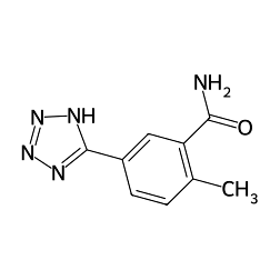 Cc1ccc(-c2nnn[nH]2)cc1C(N)=O